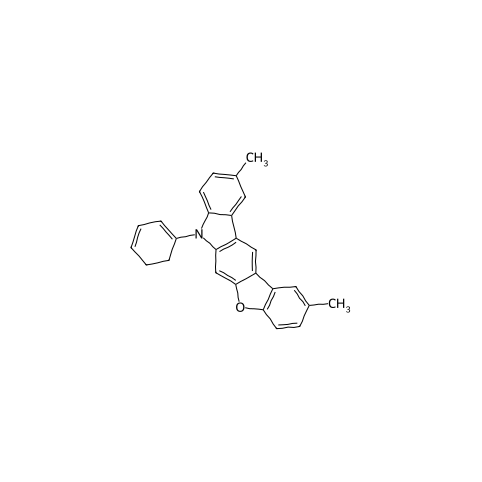 Cc1ccc2oc3cc4c(cc3c2c1)c1cc(C)ccc1n4C1=CC=CCC1